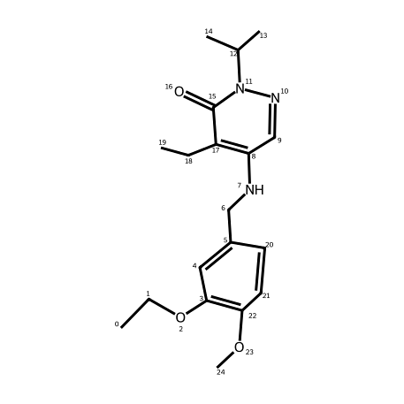 CCOc1cc(CNc2cnn(C(C)C)c(=O)c2CC)ccc1OC